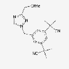 COCc1ncn(Cc2cc(C(C)(C)C#N)cc(C(C)(C)C#N)c2)n1